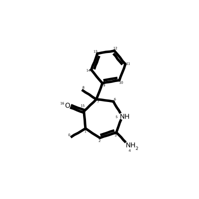 CC1C=C(N)NCC(C)(c2ccccc2)C1=O